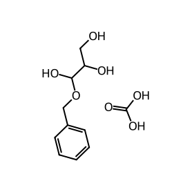 O=C(O)O.OCC(O)C(O)OCc1ccccc1